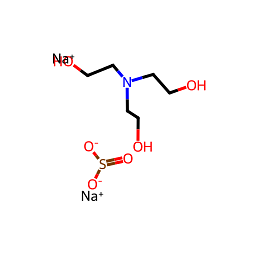 O=S([O-])[O-].OCCN(CCO)CCO.[Na+].[Na+]